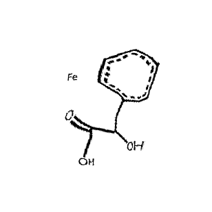 O=C(O)C(O)c1ccccc1.[Fe]